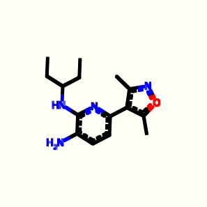 CCC(CC)Nc1nc(-c2c(C)noc2C)ccc1N